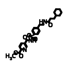 COC(=O)c1ccc(C(=O)NS(=O)(=O)c2ccc(CCNC(=O)CCC3CCCCC3)cc2)cn1